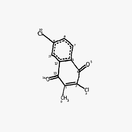 CC1=C(Cl)C(=O)c2ccc(Cl)cc2C1=O